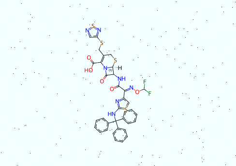 O=C(O)C1=C(CSc2cnsn2)CS[C@H]2C(NC(=O)C(=NOC(F)F)c3csc(NC(c4ccccc4)(c4ccccc4)c4ccccc4)n3)C(=O)N12